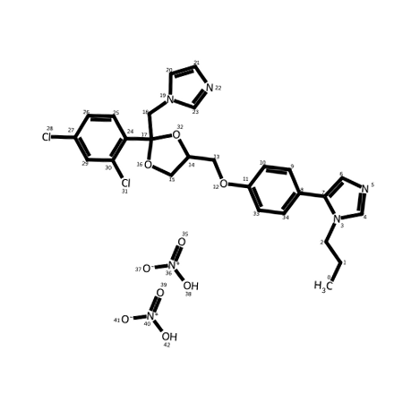 CCCn1cncc1-c1ccc(OCC2COC(Cn3ccnc3)(c3ccc(Cl)cc3Cl)O2)cc1.O=[N+]([O-])O.O=[N+]([O-])O